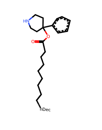 CCCCCCCCCCCCCCCCCCC(=O)OC1(c2ccccc2)CCNCC1